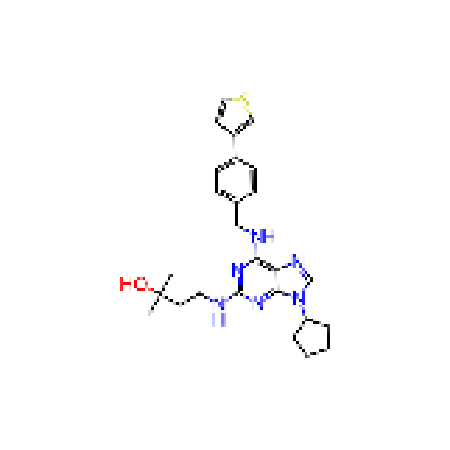 CC(C)(O)CCNc1nc(NCc2ccc(-c3ccsc3)cc2)c2ncn(C3CCCC3)c2n1